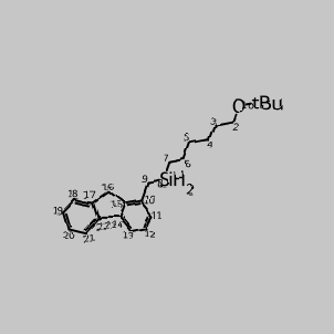 CC(C)(C)OCCCCCC[SiH2]Cc1cccc2c1Cc1ccccc1-2